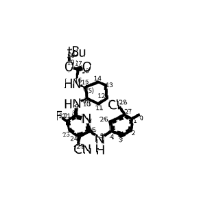 Cc1ccc(Nc2nc(N[C@@H]3CCCC[C@@H]3NC(=O)OC(C)(C)C)c(F)cc2C#N)cc1Cl